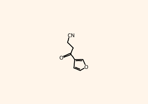 N#CCCC(=O)c1ccoc1